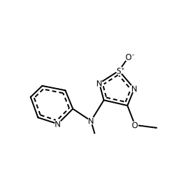 COc1n[s+]([O-])nc1N(C)c1ccccn1